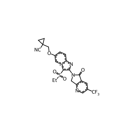 CCS(=O)(=O)c1c(N2Cc3ncc(C(F)(F)F)cc3C2=O)nc2ccc(OCC3(C#N)CC3)cn12